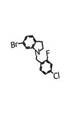 Fc1cc(Cl)ccc1CN1CCc2ccc(Br)cc21